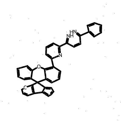 N=C(/C=C\C(=N)c1cccc(-c2cccc3c2Oc2ccccc2C32C3=C(C=CCC3)c3ccccc32)n1)c1ccccc1